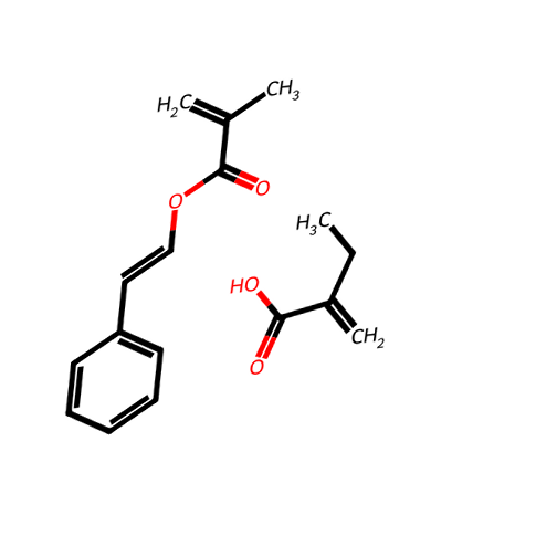 C=C(C)C(=O)OC=Cc1ccccc1.C=C(CC)C(=O)O